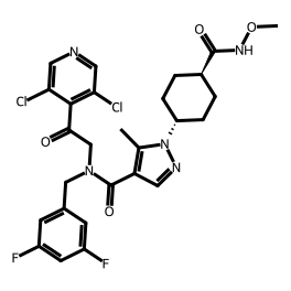 CONC(=O)[C@H]1CC[C@H](n2ncc(C(=O)N(CC(=O)c3c(Cl)cncc3Cl)Cc3cc(F)cc(F)c3)c2C)CC1